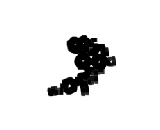 CC(C)(C)N1CCC(N2C=C([C@@H](Nc3cc(Cl)c4ncc(C#N)c(NC5CCc6ccccc65)c4c3)c3ccccc3)NN2)CC1